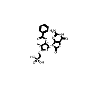 C[C@@H]1[C@@H](OCP(=O)(O)O)O[C@@H](n2c(=O)sc3c(=O)[nH]c(N)nc32)[C@@H]1OC(=O)c1ccccc1